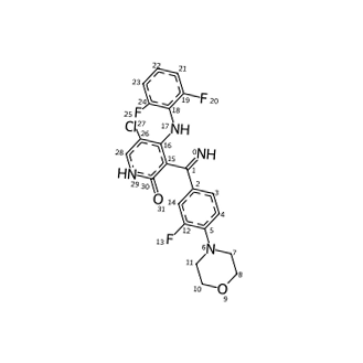 N=C(c1ccc(N2CCOCC2)c(F)c1)c1c(Nc2c(F)cccc2F)c(Cl)c[nH]c1=O